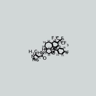 Cc1nnsc1C(=O)N[C@@H]1CC[C@@]2(S(=O)(=O)c3ccc(F)cc3)c3ccc(C(F)(C(F)(F)F)C(F)(F)F)cc3CCC[C@@H]12